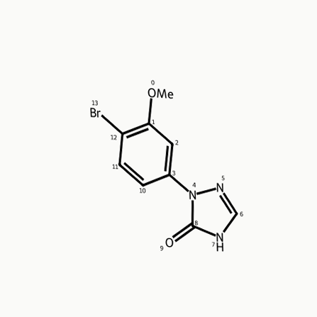 COc1cc(-n2nc[nH]c2=O)ccc1Br